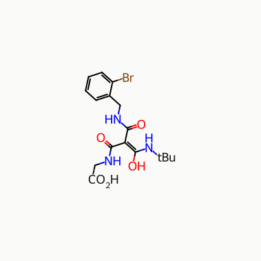 CC(C)(C)N/C(O)=C(/C(=O)NCC(=O)O)C(=O)NCc1ccccc1Br